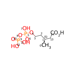 C[C@@H](CCOP(=O)(O)OP(=O)(O)O)CC(=O)O